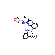 Cc1cc([C@@H](C)Nc2ccccc2C(=O)O)c2nc(NCC3COC3)c(C#N)nc2c1